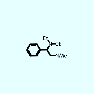 CCN(CC)C(CNC)c1ccccc1